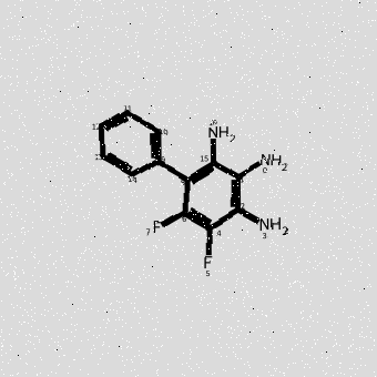 Nc1c(N)c(F)c(F)c(-c2ccccc2)c1N